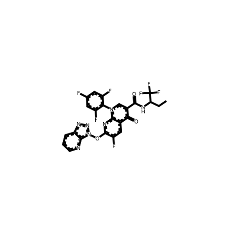 CCC(NC(=O)c1cn(-c2c(F)cc(F)cc2F)c2nc(On3nnc4cccnc43)c(F)cc2c1=O)C(F)(F)F